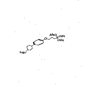 CCCCC1CCC(c2ccc(OCCC[Si](OC)(OC)OC)cc2)CC1